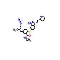 CNC(=O)c1cc(CC(C)CCN=[N+]=[N-])ccc1Sc1ccc2c(/C=C/c3ccccn3)n[nH]c2c1